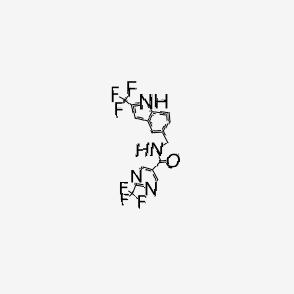 O=C(NCc1ccc2[nH]c(C(F)(F)F)cc2c1)c1cnc(C(F)(F)F)nc1